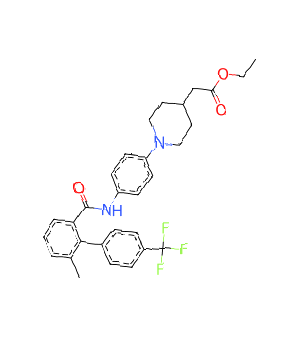 CCOC(=O)CC1CCN(c2ccc(NC(=O)c3cccc(C)c3-c3ccc(C(F)(F)F)cc3)cc2)CC1